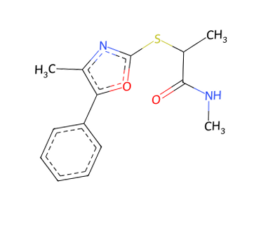 CNC(=O)C(C)Sc1nc(C)c(-c2ccccc2)o1